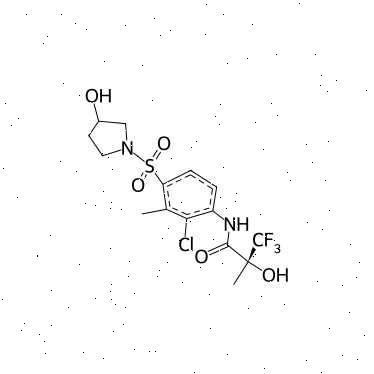 Cc1c(S(=O)(=O)N2CCC(O)C2)ccc(NC(=O)[C@@](C)(O)C(F)(F)F)c1Cl